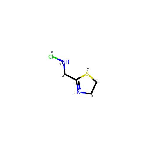 ClNCC1=NCCS1